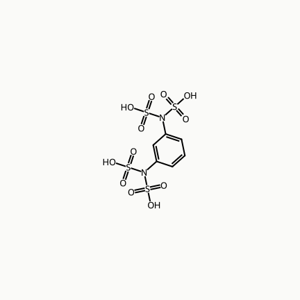 O=S(=O)(O)N(c1cccc(N(S(=O)(=O)O)S(=O)(=O)O)c1)S(=O)(=O)O